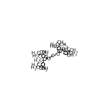 CC(C)(C)c1cc(C(C)(CC(=O)OCCOCCOC(=O)CC(C)(c2ccc(O)c(C(C)(C)C)c2)c2ccc(O)c(C(C)(C)C)c2)c2ccc(O)c(C(C)(C)C)c2)ccc1O